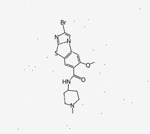 COc1cc2c(cc1C(=O)NC1CCN(C)CC1)sc1nc(Br)cn12